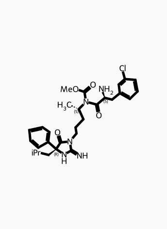 COC(=O)N(C(=O)[C@@H](N)Cc1cccc(Cl)c1)[C@@H](C)CCCN1C(=N)N[C@](CC(C)C)(c2ccccc2)C1=O